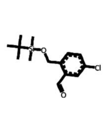 CC(C)(C)[Si](C)(C)OCc1ccc(Cl)cc1C=O